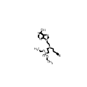 CCOP(=O)(CCN(CCC#N)CCn1cnc2c(O)ncnc21)OCC